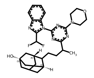 CC(CCC1[C@@H]2CC3C[C@H]1C[C@@](O)(C3)C2)c1nc(N2CCOCC2)nc(-n2c(C(F)F)nc3ccccc32)n1